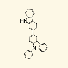 C1=Cc2c([nH]c3cc(-c4ccc5c(c4)c4ccccc4n5-c4ccccc4)ccc23)CC1